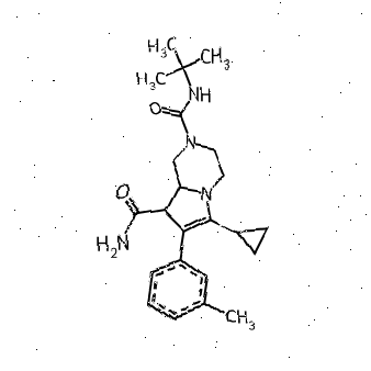 Cc1cccc(C2=C(C3CC3)N3CCN(C(=O)NC(C)(C)C)CC3C2C(N)=O)c1